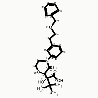 CC(C)(C)[C@](O)(C(=O)O)[C@H]1OCCN(c2cccc(CCOCc3ccccc3)c2)C1=O